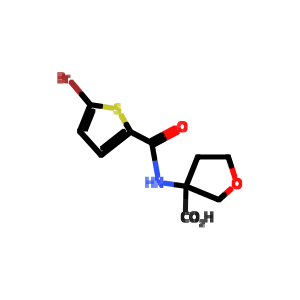 O=C(NC1(C(=O)O)CCOC1)c1ccc(Br)s1